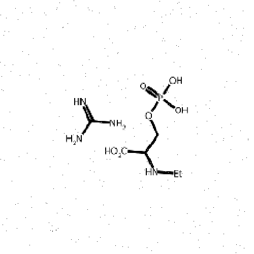 CCNC(COP(=O)(O)O)C(=O)O.N=C(N)N